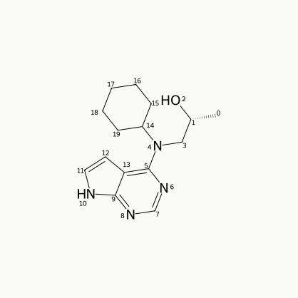 C[C@@H](O)CN(c1ncnc2[nH]ccc12)C1CCCCC1